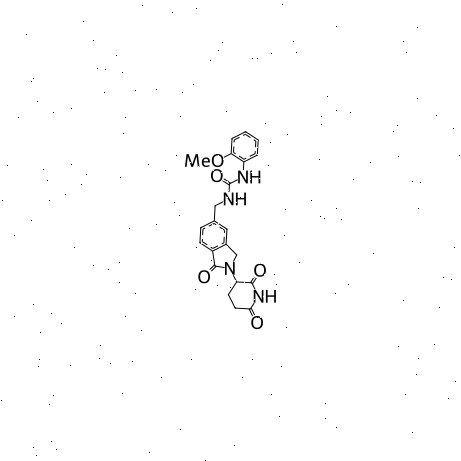 COc1ccccc1NC(=O)NCc1ccc2c(c1)CN(C1CCC(=O)NC1=O)C2=O